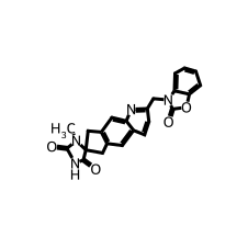 CN1C(=O)NC(=O)C12Cc1cc3ccc(Cn4c(=O)oc5ccccc54)nc3cc1C2